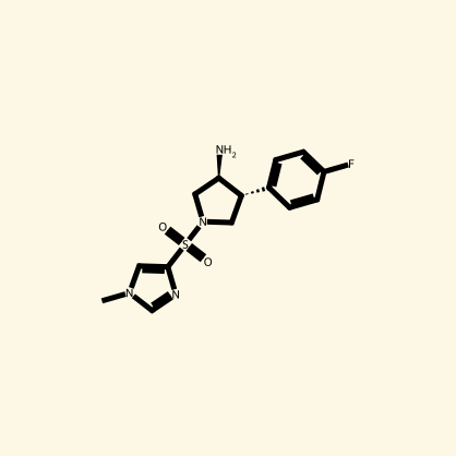 Cn1cnc(S(=O)(=O)N2C[C@@H](N)[C@H](c3ccc(F)cc3)C2)c1